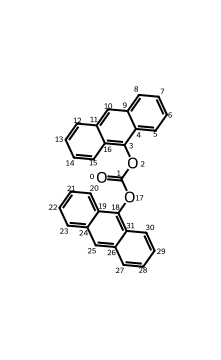 O=C(Oc1c2ccccc2cc2ccccc12)Oc1c2ccccc2cc2ccccc12